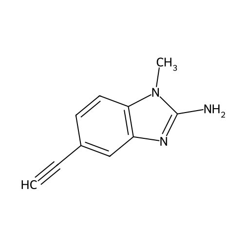 C#Cc1ccc2c(c1)nc(N)n2C